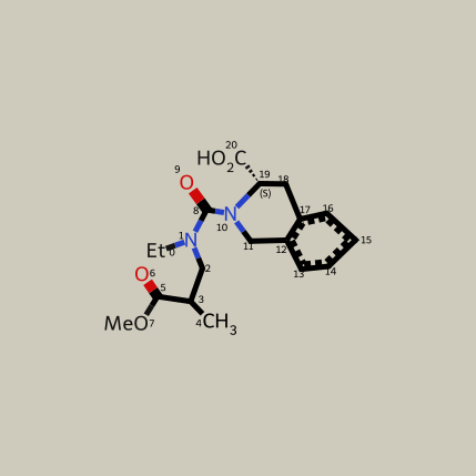 CCN(CC(C)C(=O)OC)C(=O)N1Cc2ccccc2C[C@H]1C(=O)O